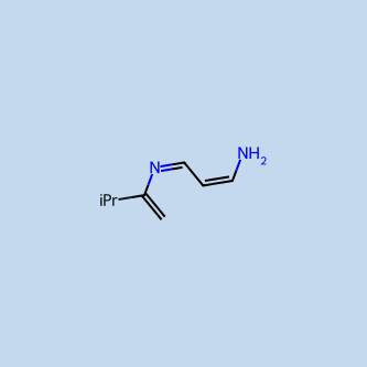 C=C(/N=C\C=C/N)C(C)C